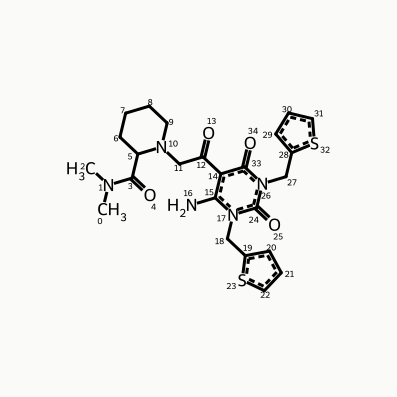 CN(C)C(=O)C1CCCCN1CC(=O)c1c(N)n(Cc2cccs2)c(=O)n(Cc2cccs2)c1=O